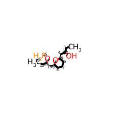 CC[C@H](O)C[C@H]1CCC[C@@H](C[C@H](CC)OP)O1